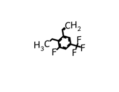 C=Cc1cc(C(F)(F)F)cc(F)c1CC